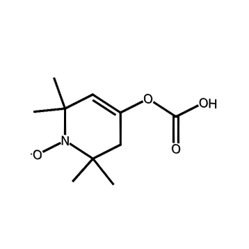 CC1(C)C=C(OC(=O)O)CC(C)(C)N1[O]